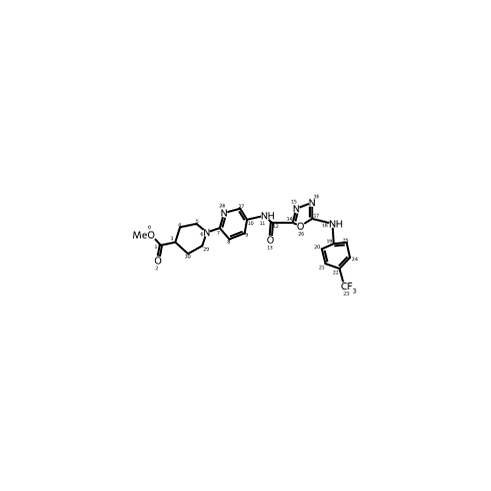 COC(=O)C1CCN(c2ccc(NC(=O)c3nnc(Nc4ccc(C(F)(F)F)cc4)o3)cn2)CC1